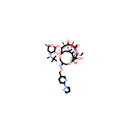 CC[C@H]1OC(=O)[C@H](C)C(=O)[C@H](C)[C@@H](O[C@@H]2O[C@H](C)C[C@H](N(C)C(C)(C)C)[C@H]2O)[C@@]2(C)C[C@@H](C)/C(=N\C(C)=O)[C@H](C)[C@@H](OC/C(=N\OCc3ccc(-n4cccn4)nc3)CO2)[C@]1(C)O